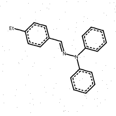 CCc1ccc(C=NN(c2ccccc2)c2ccccc2)cc1